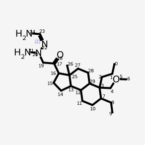 CCCC1(COC)C(CC)CCC2C3CCC(C(=O)CN(N)/N=C\N)C3(C)CCC21